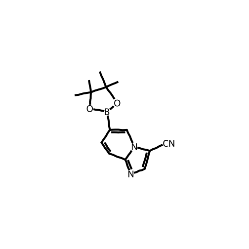 CC1(C)OB(c2ccc3ncc(C#N)n3c2)OC1(C)C